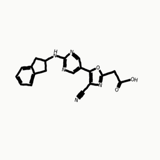 N#Cc1nc(CC(=O)O)oc1-c1cnc(NC2Cc3ccccc3C2)nc1